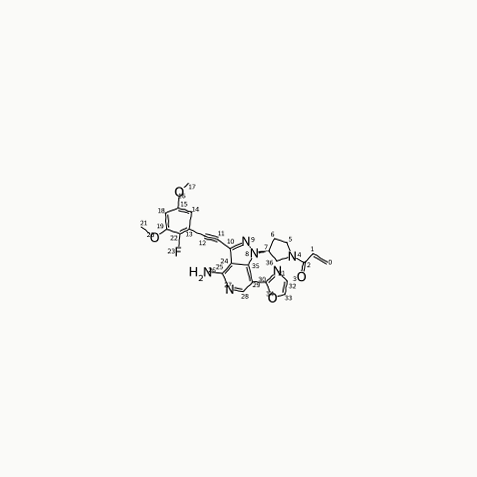 C=CC(=O)N1CC[C@H](n2nc(C#Cc3cc(OC)cc(OC)c3F)c3c(N)ncc(-c4ncco4)c32)C1